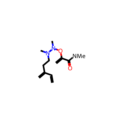 C=CC(=C)CCN(C)N(C)OC(=C)C(=O)NC